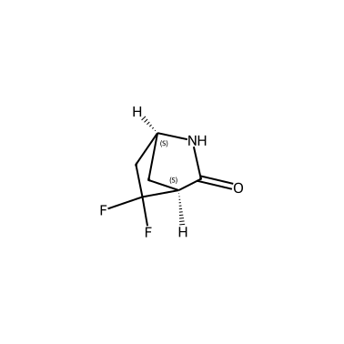 O=C1N[C@H]2C[C@@H]1C(F)(F)C2